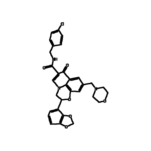 O=C(NCc1ccc(Cl)cc1)c1cn2c3c(cc(CN4CCOCC4)cc3c1=O)OC(c1cccc3c1OCO3)C2